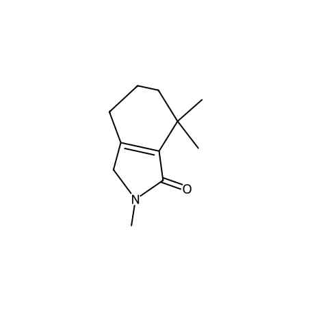 CN1CC2=C(C1=O)C(C)(C)CCC2